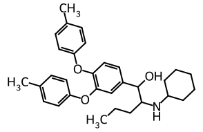 CCCC(NC1CCCCC1)C(O)c1ccc(Oc2ccc(C)cc2)c(Oc2ccc(C)cc2)c1